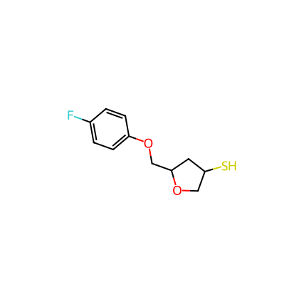 Fc1ccc(OCC2CC(S)CO2)cc1